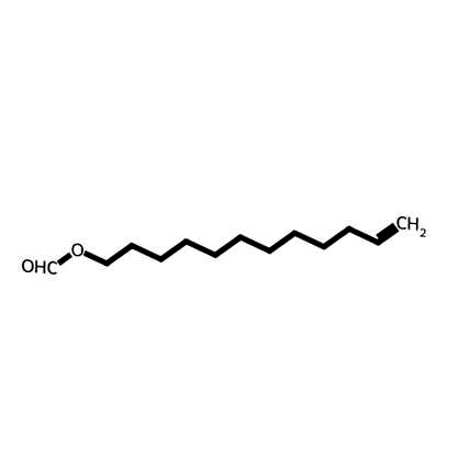 C=CCCCCCCCCCCOC=O